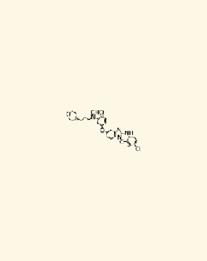 Cn1c(Nc2ccc(Cl)cc2)nc2cc(Oc3ccnc(N(C=O)CCCN4CCOCC4)c3)ccc21